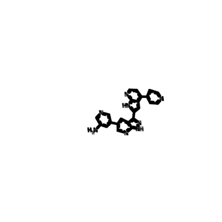 Nc1cncc(-c2cnc3[nH]nc(-c4cc5c(-c6ccncc6)ccnc5[nH]4)c3c2)c1